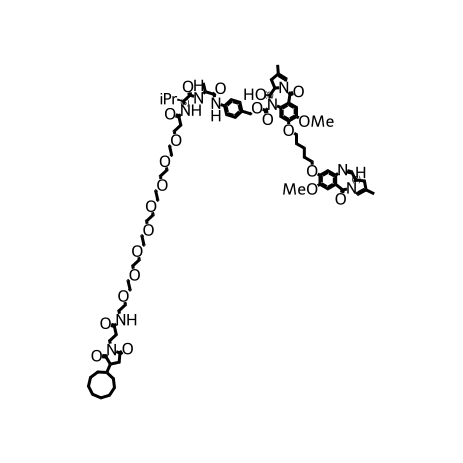 COc1cc2c(cc1OCCCCCOc1cc3c(cc1OC)C(=O)N1C=C(C)CC1[C@H](O)N3C(=O)OCc1ccc(NC(=O)C(C)NC(=O)[C@@H](NC(=O)CCOCCOCCOCCOCCOCCOCCOCCOCCNC(=O)CCN3C(=O)CC(C4CCCCCCCC4)C3=O)C(C)C)cc1)N=C[C@@H]1CC(C)=CN1C2=O